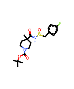 CC(C)(C)OC(=O)N1CCC(C)(C(=O)N[S+]([O-])Cc2ccc(F)cc2)CC1